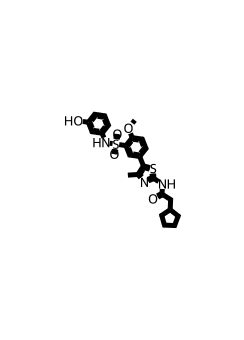 COc1ccc(-c2sc(NC(=O)CC3CCCC3)nc2C)cc1S(=O)(=O)Nc1cccc(O)c1